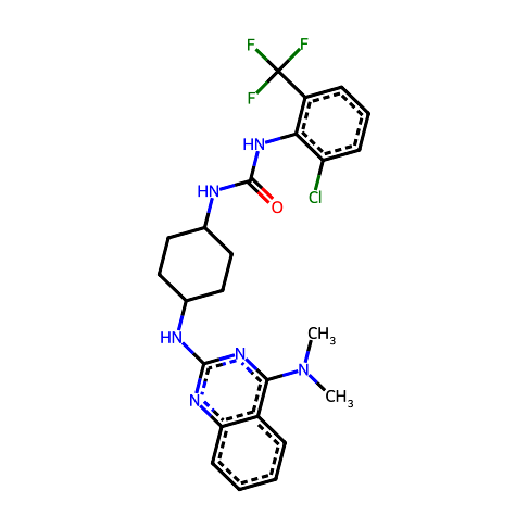 CN(C)c1nc(NC2CCC(NC(=O)Nc3c(Cl)cccc3C(F)(F)F)CC2)nc2ccccc12